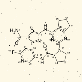 NC(=O)c1cnc(Nc2nc(N3CCC[C@H]3C(=O)Nc3ccc(F)nc3)nc3c2CCC3)o1